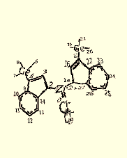 [CH2]=[Zr+2]([CH]1C=[C]([Ge]([CH3])([CH3])[CH3])c2ccccc21)[CH]1C=[C]([Ge]([CH3])([CH3])[CH3])c2ccccc21.[Cl-].[Cl-]